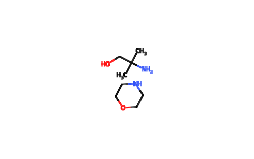 C1COCCN1.CC(C)(N)CO